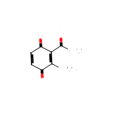 COC(=O)C1=C(OC)C(=O)C=CC1=O